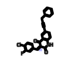 O=C1Nc2ccc(C#CCc3ccccc3)cc2C(=O)/C1=C\c1ccc(Cl)c(F)c1